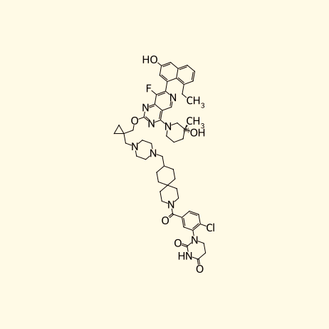 CCc1cccc2cc(O)cc(-c3ncc4c(N5CCC[C@@](C)(O)C5)nc(OCC5(CN6CCN(CC7CCC8(CC7)CCN(C(=O)c7ccc(Cl)c(N9CCC(=O)NC9=O)c7)CC8)CC6)CC5)nc4c3F)c12